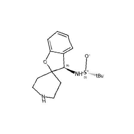 CC(C)(C)[S@@+]([O-])N[C@@H]1c2ccccc2OC12CCNCC2